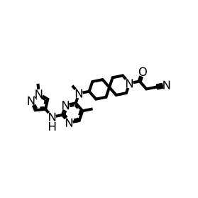 Cc1cnc(Nc2cnn(C)c2)nc1N(C)C1CCC2(CC1)CCN(C(=O)CC#N)CC2